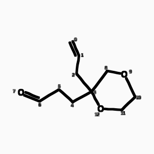 C=CCC1(CCC=O)COCCO1